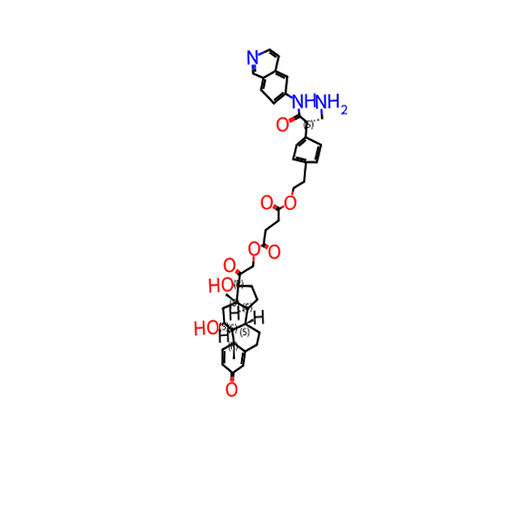 C[C@]12C=CC(=O)C=C1CC[C@@H]1[C@@H]2[C@@H](O)C[C@@]2(C)[C@H]1CC[C@]2(O)C(=O)COC(=O)CCC(=O)OCCc1ccc([C@@H](CN)C(=O)Nc2ccc3cnccc3c2)cc1